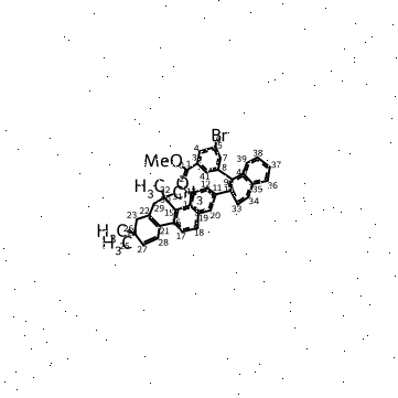 COC(=O)c1cc(Br)cc(-c2c(-c3ccc4c5c(ccc4c3)C3=C(CC(C)(C)C=C3)CC5(C)C)ccc3ccccc23)c1